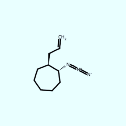 C=CC[C@@H]1CCCCC[C@H]1N=[N+]=[N-]